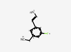 CCCC=Cc1cc(F)cc(CC#N)c1